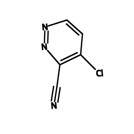 N#Cc1nnccc1Cl